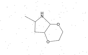 CC1CC2OCCOC2N1